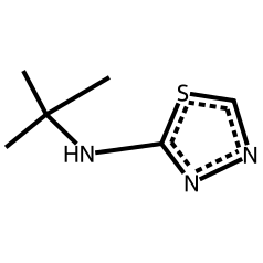 CC(C)(C)Nc1nncs1